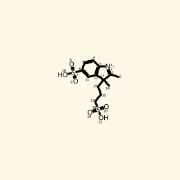 CC1=[N+]c2ccc(S(=O)(=O)O)cc2C1(C)CCCS(=O)(=O)O